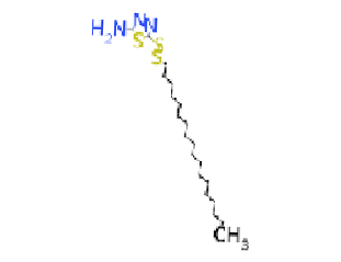 CCCCCCCCCCCCCCCCCCSSc1nnc(N)s1